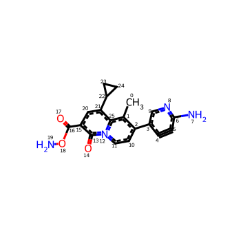 Cc1c(-c2c#cc(N)nc2)ccn2c(=O)c(C(=O)ON)cc(C3CC3)c12